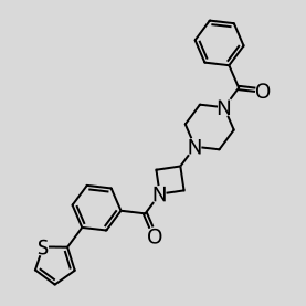 O=C(c1ccccc1)N1CCN(C2CN(C(=O)c3cccc(-c4cccs4)c3)C2)CC1